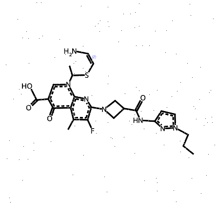 CCCn1ccc(NC(=O)C2CN(c3nc4c(c(C)c3F)c(=O)c(C(=O)O)cn4C(C)S/C=C\N)C2)n1